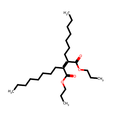 CCCCCCCC/C(C(=O)OCCC)=C(\CCCCCCC)C(=O)OCCC